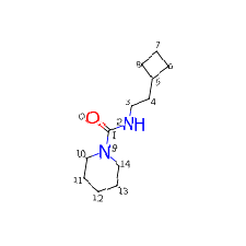 O=C(NCCC1CCC1)N1CCCCC1